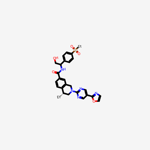 CC[C@H]1CN(c2ncc(-c3ncco3)cn2)Cc2cc(C(=O)NC(CO)c3ccc(S(=O)(=O)CC)cc3)ccc21